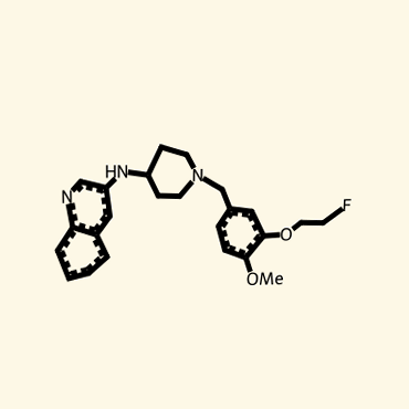 COc1ccc(CN2CCC(Nc3cnc4ccccc4c3)CC2)cc1OCCF